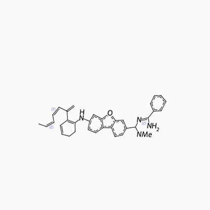 C=C(/C=C\C=C/C)C1=C(Nc2ccc3c(c2)oc2cc(C(/N=C(\N)c4ccccc4)NC)ccc23)CCC=C1